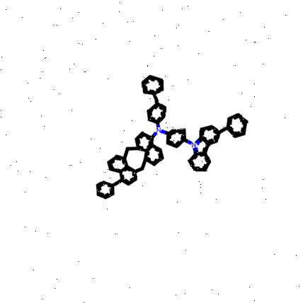 c1ccc(-c2ccc(N(c3ccc(-n4c5ccccc5c5cc(-c6ccccc6)ccc54)cc3)c3ccc4c5c(cccc35)Cc3ccc(-c5ccccc5)c5cccc(c35)C4)cc2)cc1